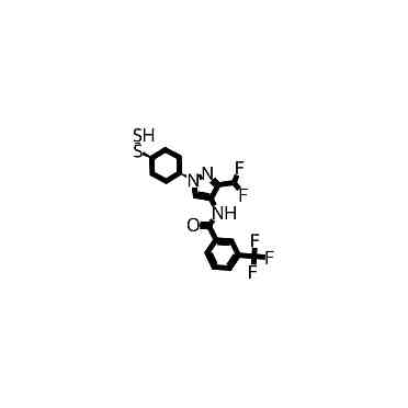 O=C(Nc1cn([C@H]2CC[C@H](SS)CC2)nc1C(F)F)c1cccc(C(F)(F)F)c1